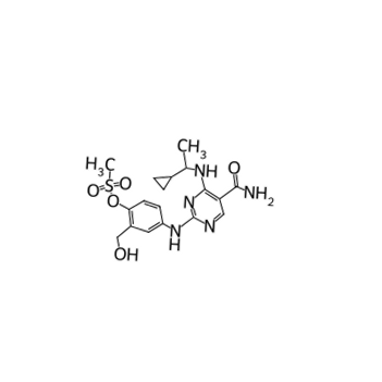 CC(Nc1nc(Nc2ccc(OS(C)(=O)=O)c(CO)c2)ncc1C(N)=O)C1CC1